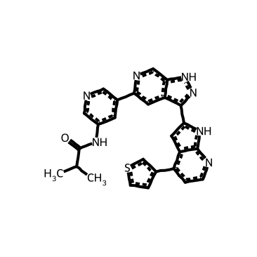 CC(C)C(=O)Nc1cncc(-c2cc3c(-c4cc5c(-c6ccsc6)ccnc5[nH]4)n[nH]c3cn2)c1